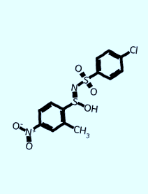 Cc1cc([N+](=O)[O-])ccc1S(O)=NS(=O)(=O)c1ccc(Cl)cc1